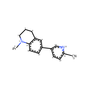 CC(C)N1CCCc2cc(-c3ccc(C#N)nc3)ccc21